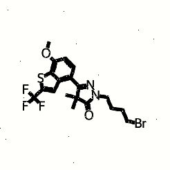 COc1ccc(C2=NN(CCCCBr)C(=O)C2(C)C)c2cc(C(F)(F)F)sc12